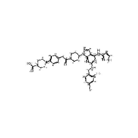 O=C(O)N1CCN(c2ccc(CC(=O)N3CCC(n4ncc5c(Nc6cc[nH]n6)nc(NCc6ccc(F)cc6F)nc54)CC3)cc2)CC1